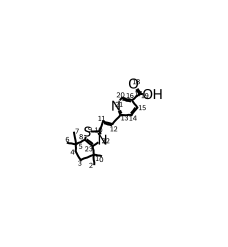 CC1(C)CCC(C)(C)c2sc(/C=C/c3ccc(C(=O)O)cn3)nc21